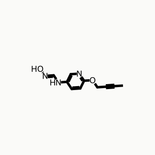 CC#CCOc1ccc(NC=NO)cn1